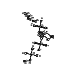 O=C(O)O.O=C([O-])[O-].O=S(=O)([O-])[O-].O=S(=O)([O-])[O-].[Ba+2].[Ca+2].[Ca+2].[Mg+2].[Mg+2].[O-][Si]([O-])([O-])[O-]